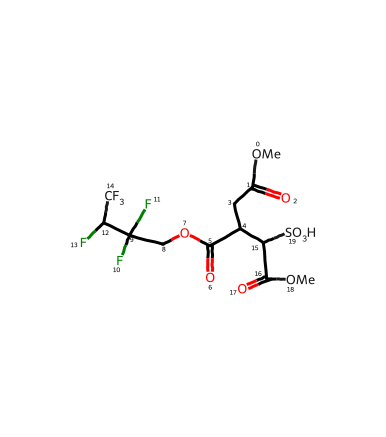 COC(=O)CC(C(=O)OCC(F)(F)C(F)C(F)(F)F)C(C(=O)OC)S(=O)(=O)O